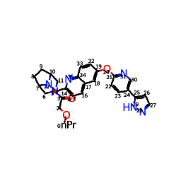 CCCOCC(=O)N1CC2CCC(C1)N2Cc1ccc2cc(Oc3ccc(-c4ccn[nH]4)cn3)ccc2n1